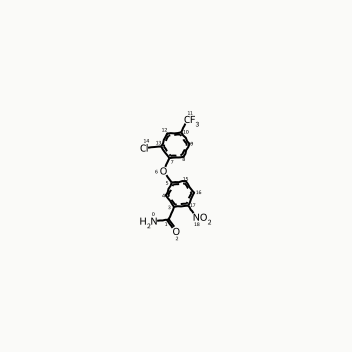 NC(=O)c1cc(Oc2ccc(C(F)(F)F)cc2Cl)ccc1[N+](=O)[O-]